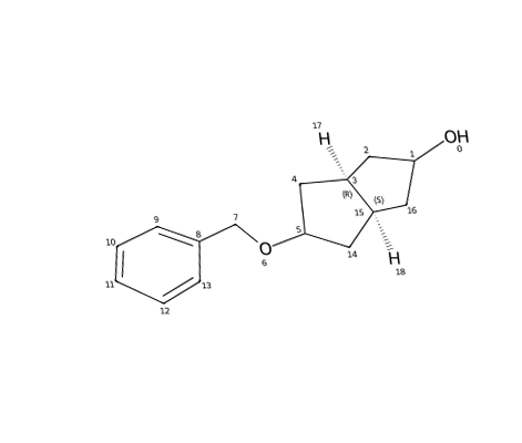 OC1C[C@@H]2CC(OCc3ccccc3)C[C@@H]2C1